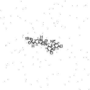 CC(C)(C)OC(=O)Nc1ccc2[nH]c(C(=O)NCc3ccc(Cl)c(Oc4cc(Cl)cc(C#N)c4)c3F)cc2c1